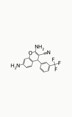 N#CC1=C(N)Oc2cc(N)ccc2C1c1cccc(C(F)(F)F)c1